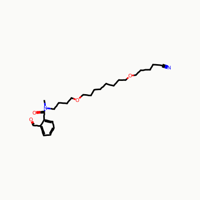 CN(CCCCOCCCCCCCCOCCCCC#N)C(=O)c1ccccc1C=O